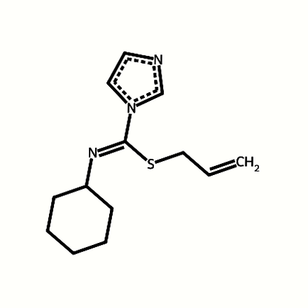 C=CCSC(=NC1CCCCC1)n1ccnc1